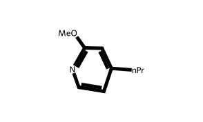 CCCc1ccnc(OC)c1